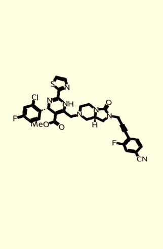 COC(=O)C1=C(CN2CCN3C(=O)N(CC#Cc4ccc(C#N)cc4F)C[C@@H]3C2)NC(c2nccs2)=N[C@H]1c1ccc(F)cc1Cl